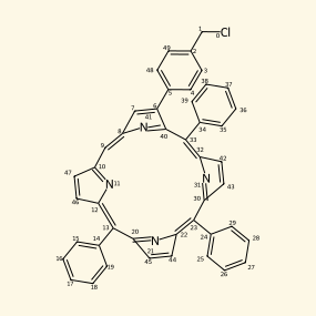 ClCc1ccc(C2=CC3=CC4=NC(=C(c5ccccc5)C5=NC(=C(c6ccccc6)C6=NC(=C(c7ccccc7)C2=N3)C=C6)C=C5)C=C4)cc1